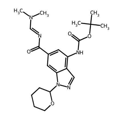 CN(C)C=NC(=O)c1cc(NC(=O)OC(C)(C)C)c2cnn(C3CCCCO3)c2c1